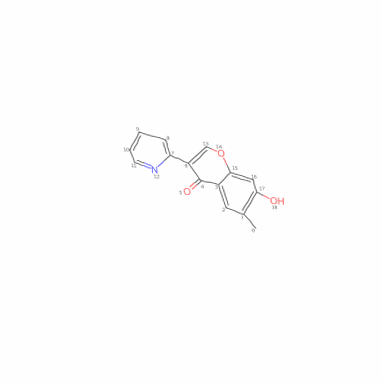 Cc1cc2c(=O)c(-c3ccccn3)coc2cc1O